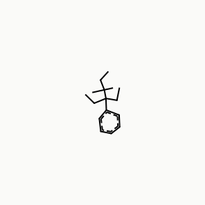 CCC(C)(C)C(CC)(CC)c1ccccc1